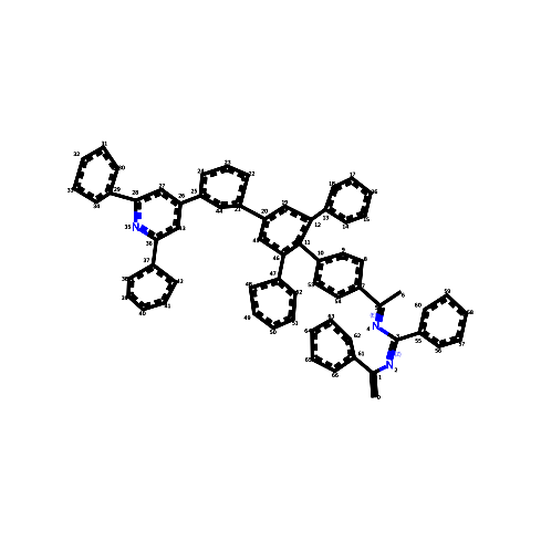 C=C(/N=C(\N=C(/C)c1ccc(-c2c(-c3ccccc3)cc(-c3cccc(-c4cc(-c5ccccc5)nc(-c5ccccc5)c4)c3)cc2-c2ccccc2)cc1)c1ccccc1)c1ccccc1